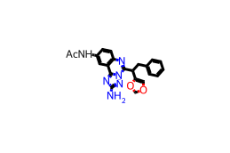 CC(=O)Nc1ccc2nc(C(Cc3ccccc3)C3=COCO3)n3nc(N)nc3c2c1